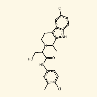 Cc1nc(NC(=O)C(CO)N2CCc3c([nH]c4ccc(Cl)cc34)C2C)ccc1Cl